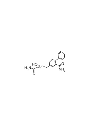 NC(=O)c1cc(C[CH]C[C@@H](O)C(N)=O)ccc1-c1ccccc1